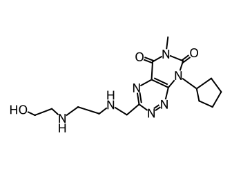 Cn1c(=O)c2nc(CNCCNCCO)nnc2n(C2CCCC2)c1=O